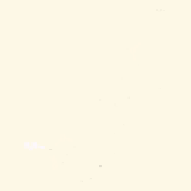 COCCOc1cccc(-c2ccc3c(c2)CCC(C)(C)C3OC(N)=O)c1